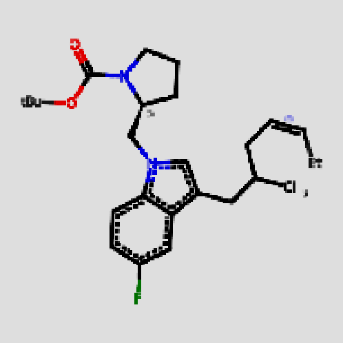 CC/C=C\CC(C)Cc1cn(C[C@@H]2CCCN2C(=O)OC(C)(C)C)c2ccc(F)cc12